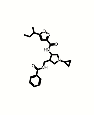 CCC(C)c1cc(C(=O)NC2CN(C3CC3)CC2CNC(=O)c2ccccc2)no1